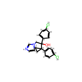 OC(Cn1ccnc1)(c1ccc(Cl)cc1)C1(c2ccc(Cl)cc2)CC1